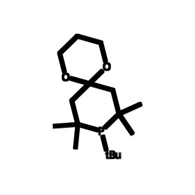 CC(C)(C)P1C(C)(C)CC2(CC1(C)C)OCCCO2